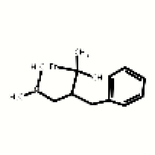 CCC(C)(C)C(Cc1ccccc1)CN(C)C